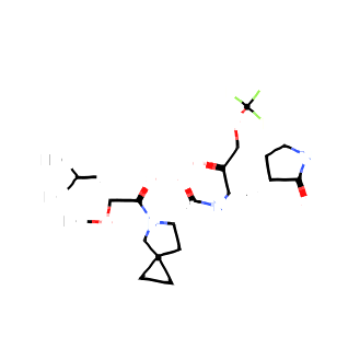 CO[C@H](CC(C)C)C(=O)N1CC2(CC2)C[C@H]1C(=O)N[C@@H](C[C@@H]1CCNC1=O)C(=O)COC(F)(F)F